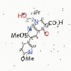 COc1ccc(-c2cc3c(=O)c(C(=O)O)cn([C@H](CO)C(C)C)c3nc2OC)cn1